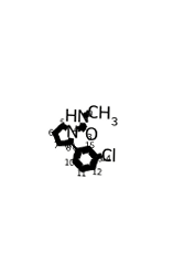 CNC(=O)N1CCC[C@@H]1c1cccc(Cl)c1